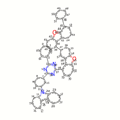 c1ccc(-c2nc(-c3cccc(-n4c5ccccc5c5ccccc54)c3)nc(-c3cccc4oc5ccc(-c6cccc7oc8c(-c9ccccc9)cccc8c67)cc5c34)n2)cc1